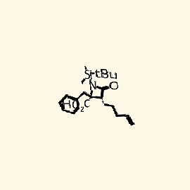 C=CCCC[C@H]1C(=O)N([Si](C)(C)C(C)(C)C)[C@]1(Cc1ccccc1)C(=O)O